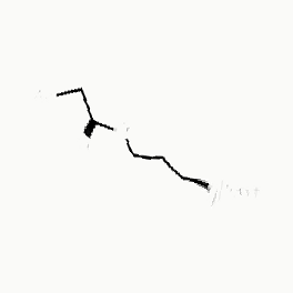 CCCCCCCCOC(=O)CC(C)=O